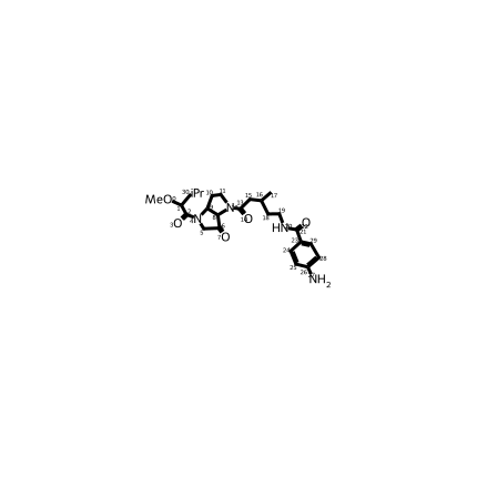 COC(C(=O)N1CC(=O)C2C1CCN2C(=O)CC(C)CCNC(=O)c1ccc(N)cc1)C(C)C